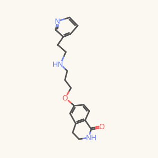 O=C1NCCc2cc(OCCCNCCc3cccnc3)ccc21